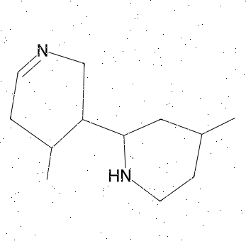 CC1CCNC(C2CN=CCC2C)C1